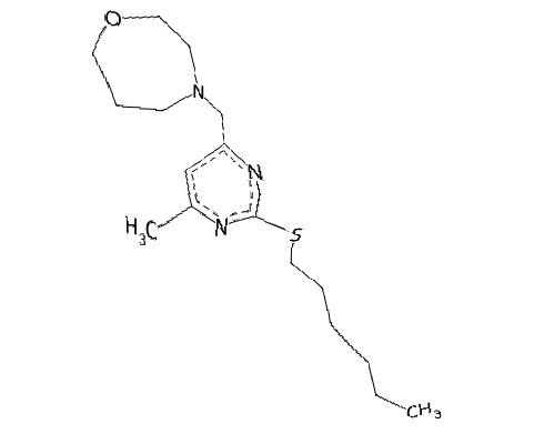 CCCCCCSc1nc(C)cc(CN2CCCOCC2)n1